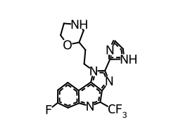 Fc1ccc2c(c1)nc(C(F)(F)F)c1nc(-c3ncc[nH]3)n(CCC3CNCCO3)c12